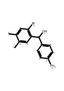 Cc1cc(Br)c(C(O)c2ccc(P)cc2)cc1C